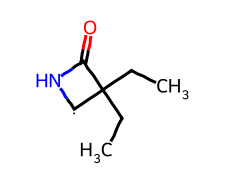 CCC1(CC)[CH]NC1=O